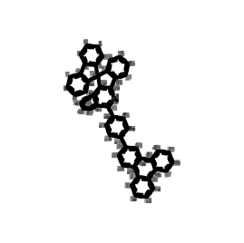 c1ccc2c(c1)-c1ccccc1C21c2ccccc2-c2nc(-c3ccc(-c4ccc5c6ccccc6c6ccccc6c5c4)cc3)c3ccccc3c21